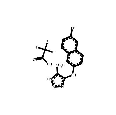 O=C(O)C(F)(F)F.O=C(O)c1[nH]nnc1Nc1ccc2cc(Br)ccc2c1